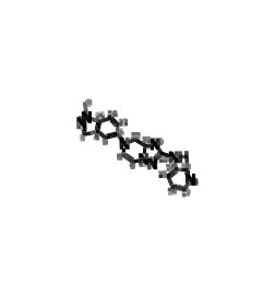 Cn1ncc2cc(N3C=Cn4nc(Nc5cccnc5)nc4C3)ccc21